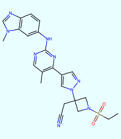 CCS(=O)(=O)N1CC(CC#N)(n2cc(-c3nc(Nc4ccc5ncn(C)c5c4)ncc3C)cn2)C1